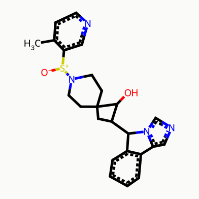 Cc1ccncc1[S+]([O-])N1CCC2(CC1)CC(C1c3ccccc3-c3cncn31)C2O